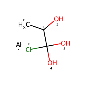 CC(O)C(O)(O)Cl.[Al]